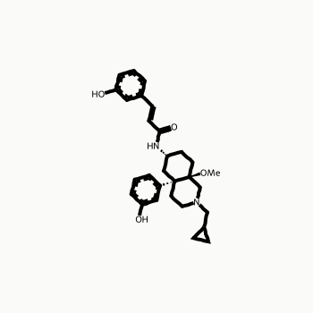 CO[C@]12CC[C@@H](NC(=O)C=Cc3cccc(O)c3)C[C@]1(c1cccc(O)c1)CCN(CC1CC1)C2